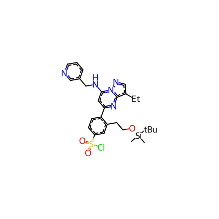 CCc1cnn2c(NCc3cccnc3)cc(-c3ccc(S(=O)(=O)Cl)cc3CCO[Si](C)(C)C(C)(C)C)nc12